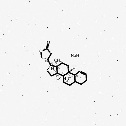 C[C@]12CC[C@H]3[C@@H](CCC4CCC=C[C@@]43C)[C@H]1CC[C@@H]2[C@@H]1COC(=O)C1.[NaH]